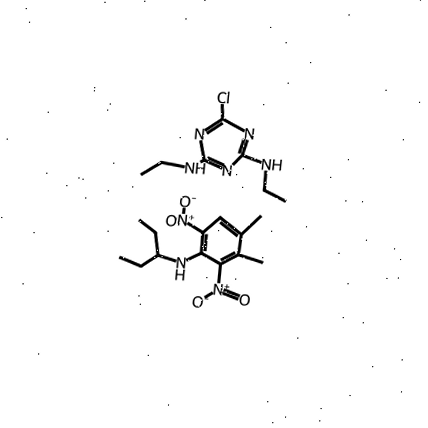 CCC(CC)Nc1c([N+](=O)[O-])cc(C)c(C)c1[N+](=O)[O-].CCNc1nc(Cl)nc(NCC)n1